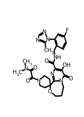 Cc1ncnn1-c1cc(F)ccc1CNC(=O)c1nc2n(c(=O)c1O)CCCOC21CCN(C(=O)C(=O)N(C)C)CC1